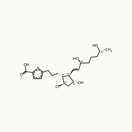 C[C@@H](O)CCC[C@H](O)C=C[C@@H]1[C@@H](CCCc2ccc(C(=O)O)s2)[C@H](Cl)C[C@H]1O